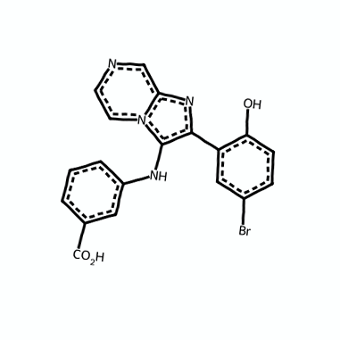 O=C(O)c1cccc(Nc2c(-c3cc(Br)ccc3O)nc3cnccn23)c1